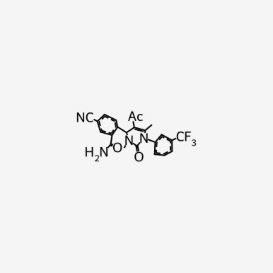 CC(=O)C1=C(C)N(c2cccc(C(F)(F)F)c2)C(=O)N(C)C1c1ccc(C#N)cc1C(N)=O